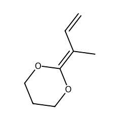 C=CC(C)=C1OCCCO1